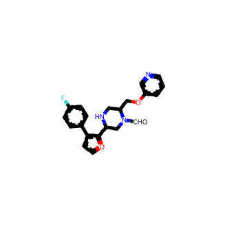 O=CN1CC(c2occc2-c2ccc(F)cc2)NCC1COc1cccnc1